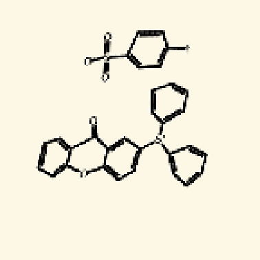 O=S(=O)([O-])c1ccc(F)cc1.O=c1c2ccccc2oc2ccc([S+](c3ccccc3)c3ccccc3)cc12